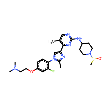 Cc1nc(-c2nc(NC3CCN([S+](C)[O-])CC3)ncc2C(F)(F)F)cn1-c1ccc(OCCN(C)C)cc1F